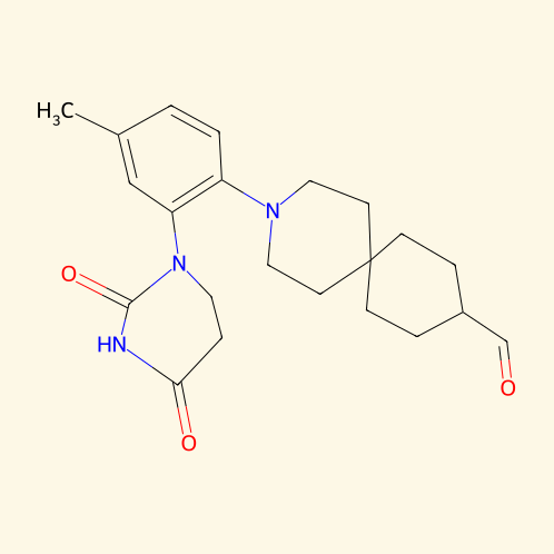 Cc1ccc(N2CCC3(CCC(C=O)CC3)CC2)c(N2CCC(=O)NC2=O)c1